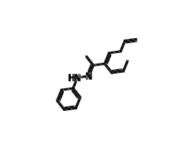 C=CC/C=C(\C=C/C)C(/C)=N/Nc1ccccc1